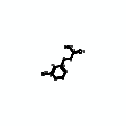 O=C(S)CCc1cccc(Br)c1